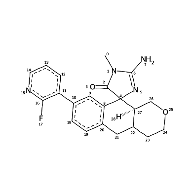 CN1C(=O)C2(N=C1N)c1cc(-c3cccnc3F)ccc1CC1CCOC[C@@H]12